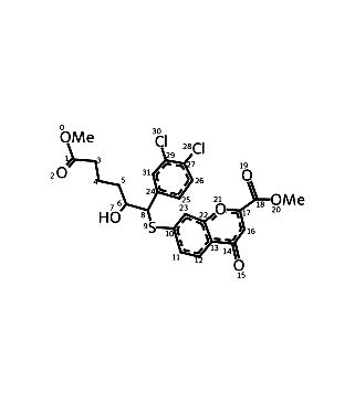 COC(=O)CCCC(O)C(Sc1ccc2c(=O)cc(C(=O)OC)oc2c1)c1ccc(Cl)c(Cl)c1